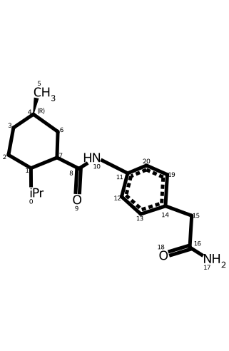 CC(C)C1CC[C@@H](C)CC1C(=O)Nc1ccc(CC(N)=O)cc1